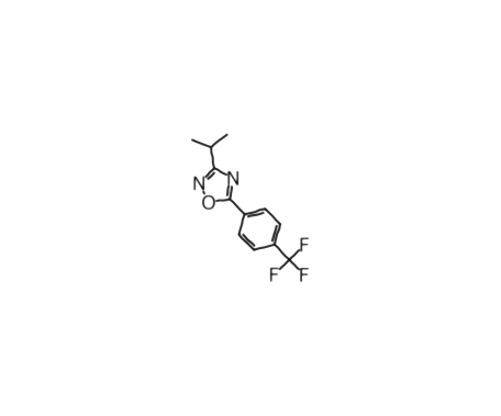 CC(C)c1noc(-c2ccc(C(F)(F)F)cc2)n1